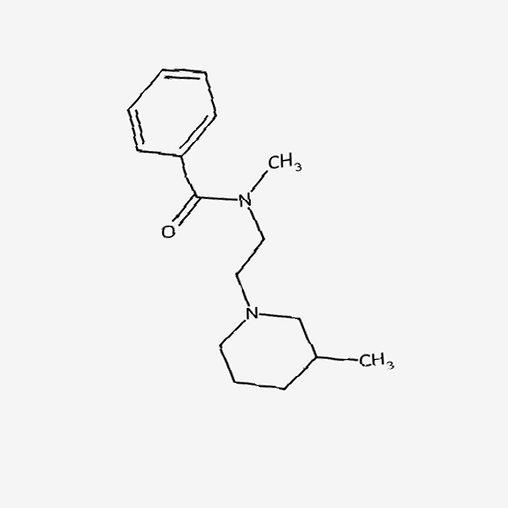 CC1CCCN(CCN(C)C(=O)c2ccccc2)C1